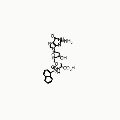 C[C@H](NP(=O)(OC[C@H]1O[C@@H](n2cnc3c(=O)[nH]c(N)nc32)C[C@@H]1O)Oc1cccc2ccccc12)C(=O)O